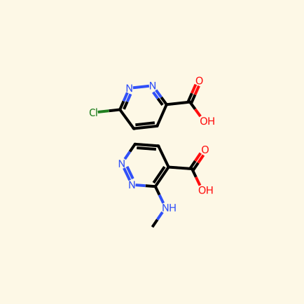 CNc1nnccc1C(=O)O.O=C(O)c1ccc(Cl)nn1